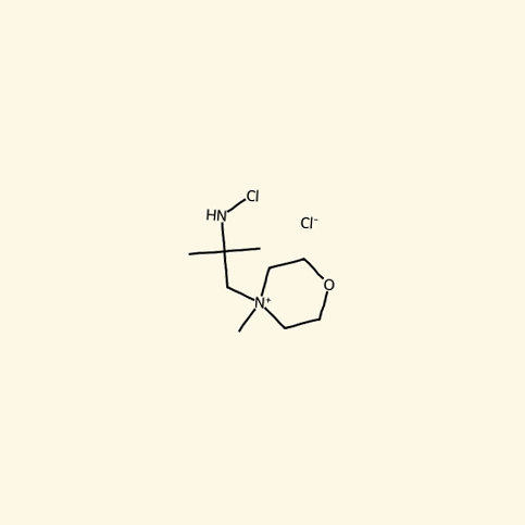 CC(C)(C[N+]1(C)CCOCC1)NCl.[Cl-]